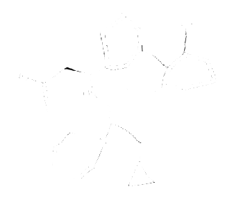 Cc1cccc(C)c1-c1cncc([C@H](CC(=O)O)NC(=O)C(CC2CC2)N2C=CC=CC2)c1